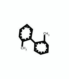 Cc1ccccc1-c1ccccc1C